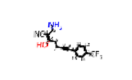 N#C/C(CN)=C(\O)CCC#Cc1ccc(C(F)(F)F)cc1